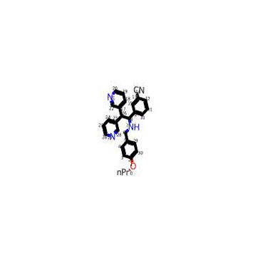 CCCOc1ccc(CNC(c2cccc(C#N)c2)C(c2cccnc2)c2cccnc2)cc1